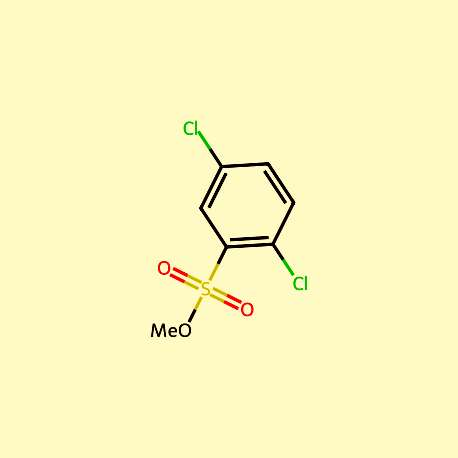 COS(=O)(=O)c1cc(Cl)ccc1Cl